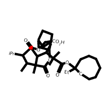 CCC1(OC(=O)C(C)(C)C(C)C(C)C(C)(C(=O)OC2CC3CCC2C3)C(C)C(C(=O)OCC(=O)O)C(C)C)CCCCCCC1